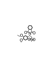 CCOc1cc(C(CS(C)(=O)=O)N2C(=O)c3ccccc3C2=O)ccc1OC